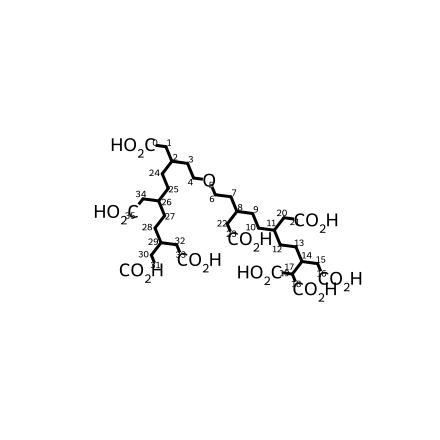 O=C(O)CC(CCOCCC(CCC(CCC(CC(=O)O)C(C(=O)O)C(=O)O)CC(=O)O)CC(=O)O)CCC(CCC(CC(=O)O)CC(=O)O)CC(=O)O